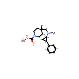 CC(=O)N(CC1(C)CCN(C(=O)OC(C)(C)C)CC1)[C@@H]1CC1c1ccccc1